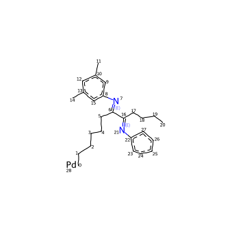 CCCCCCC(=N\c1cc(C)cc(C)c1)/C(CCCC)=N/c1ccccc1.[Pd]